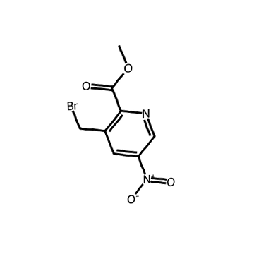 COC(=O)c1ncc([N+](=O)[O-])cc1CBr